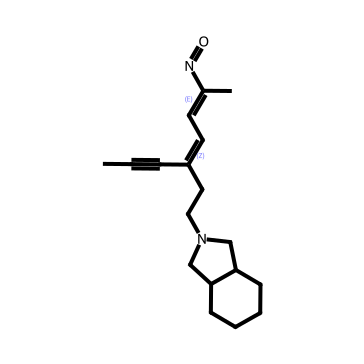 CC#C/C(=C\C=C(/C)N=O)CCN1CC2CCCCC2C1